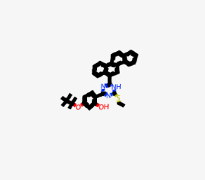 CCSC1N=C(c2ccc(OC(C)(C)C(C)(C)C)cc2O)N=C(c2cc3c4ccccc4ccc3c3ccccc23)N1